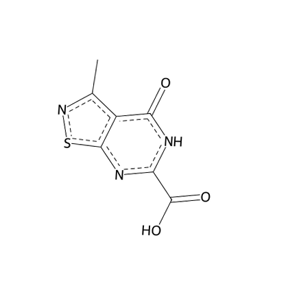 Cc1nsc2nc(C(=O)O)[nH]c(=O)c12